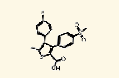 Cc1sc(C(=O)O)c(-c2ccc(S(C)(=O)=O)cc2)c1-c1ccc(F)cc1